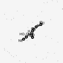 N#Cc1ccc(-c2ccc(C[C@H](NC(=O)C3Cc4cc5c(cc4CN3S(=O)(=O)c3ccccc3)O[C@@H](c3ccc(OCc4ccc(Cl)c(Cl)c4)cc3)CO5)C(=O)O)cc2)cc1